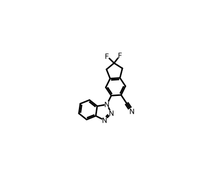 N#Cc1cc2c(cc1-n1nnc3ccccc31)CC(F)(F)C2